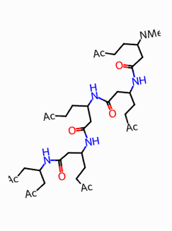 CNC(CCC(C)=O)CC(=O)NC(CCC(C)=O)CC(=O)NC(CCC(C)=O)CC(=O)NC(CCC(C)=O)CC(=O)NC(CC(C)=O)CC(C)=O